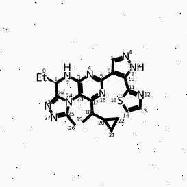 CC[C@H]1Nc2nc(-c3cn[nH]c3-c3nccs3)nc(C(C)C3CC3)c2-n2c(C)nnc21